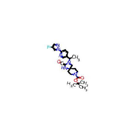 CC(c1ccc(-n2cc(F)cn2)nc1)N1CC2(CCN(C(=O)OC(C)(C)C)CC2)NC1=C=O